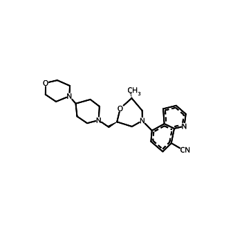 C[C@@H]1CN(c2ccc(C#N)c3ncccc23)C[C@@H](CN2CCC(N3CCOCC3)CC2)O1